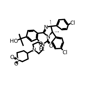 CCOc1cc(C(C)(C)O)ccc1C1=N[C@@](C)(c2ccc(Cl)cc2)[C@@](C)(c2ccc(Cl)cc2)N1C(=O)N1CCN(C2CCS(=O)(=O)CC2)CC1